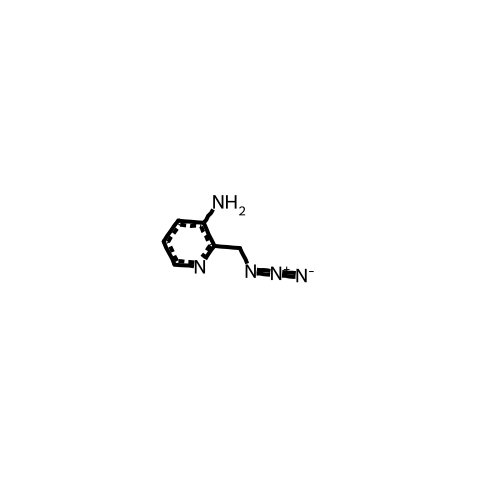 [N-]=[N+]=NCc1ncccc1N